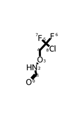 O=[C]NOCC(F)(F)Cl